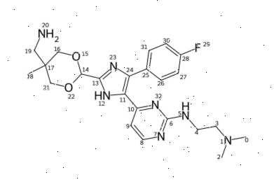 CN(C)CCNc1nccc(-c2[nH]c(C3OCC(C)(CN)CO3)nc2-c2ccc(F)cc2)n1